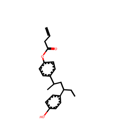 C=CCC(=O)Oc1ccc(C(C)CC(CC)c2ccc(O)cc2)cc1